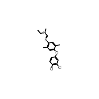 CCN(C)/C=N/c1cc(C)c(Oc2ccc(Cl)c(Cl)c2)cc1C